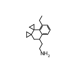 CCc1cccc2c1C1(CC1)C1(CC1)CC2CCN